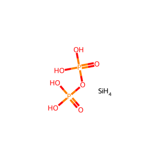 O=P(O)(O)OP(=O)(O)O.[SiH4]